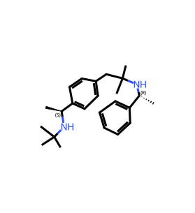 C[C@H](NC(C)(C)C)c1ccc(CC(C)(C)N[C@H](C)c2ccccc2)cc1